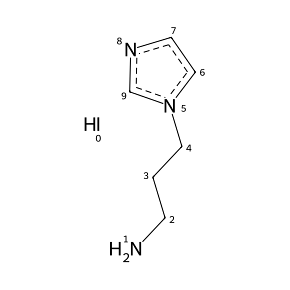 I.NCCCn1ccnc1